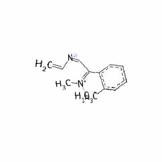 C=C/N=C\C(c1ccccc1C)=[N+](C)C